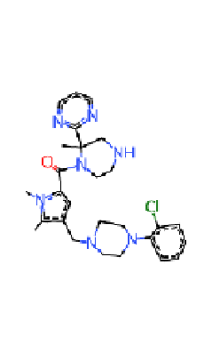 Cc1c(CN2CCN(c3ccccc3Cl)CC2)cc(C(=O)N2CCNCC2(C)c2ncccn2)n1C